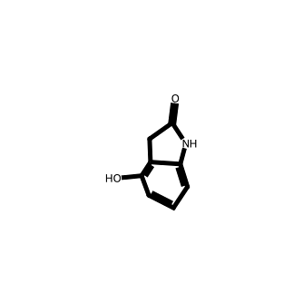 O=C1Cc2c(O)cccc2N1